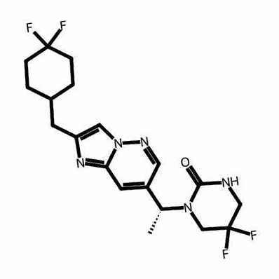 C[C@H](c1cnn2cc(CC3CCC(F)(F)CC3)nc2c1)N1CC(F)(F)CNC1=O